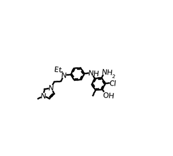 CCN(CCN1C=CN(C)C1)c1ccc(Nc2cc(C)c(O)c(Cl)c2N)cc1